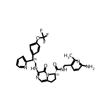 Cc1nc(N)ccc1CNC(=O)[C@@H]1CCc2cnc(NC[C@@H](c3ccc(OC(F)(F)F)cc3)c3ccccn3)c(=O)n21